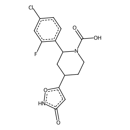 O=C(O)N1CCC(c2cc(=O)[nH]o2)CC1c1ccc(Cl)cc1F